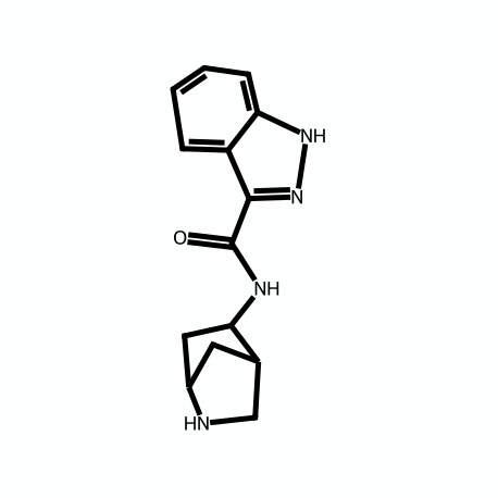 O=C(NC1CC2CC1CN2)c1n[nH]c2ccccc12